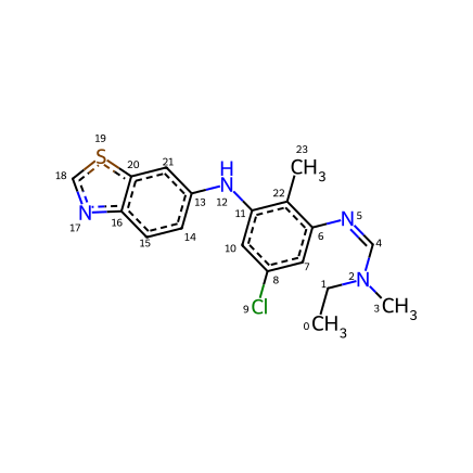 CCN(C)/C=N\c1cc(Cl)cc(Nc2ccc3ncsc3c2)c1C